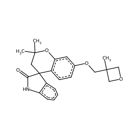 CC1(COc2ccc3c(c2)OC(C)(C)CC32C(=O)Nc3ccccc32)COC1